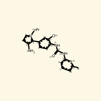 CCCn1ccc(N)c1-c1ccc(NC(=O)Nc2cccc(C)n2)c(Cl)c1